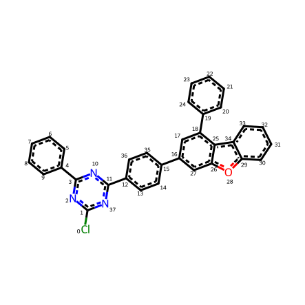 Clc1nc(-c2ccccc2)nc(-c2ccc(-c3cc(-c4ccccc4)c4c(c3)oc3ccccc34)cc2)n1